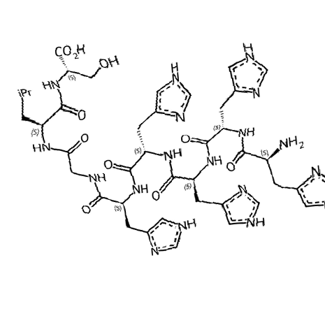 CC(C)C[C@H](NC(=O)CNC(=O)[C@H](Cc1c[nH]cn1)NC(=O)[C@H](Cc1c[nH]cn1)NC(=O)[C@H](Cc1c[nH]cn1)NC(=O)[C@H](Cc1c[nH]cn1)NC(=O)[C@@H](N)Cc1c[nH]cn1)C(=O)N[C@@H](CO)C(=O)O